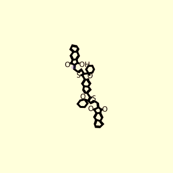 O=C1C(=Cc2cc3c(s2)C2=CC4C=C5OC6(CCCCC6)c6cc(/C=C7/C(=O)c8cc9ccccc9cc8C7O)sc6C5=CC4C=C2OC32CCCCC2)C(=O)c2cc3ccccc3cc21